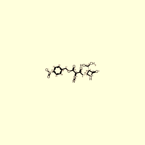 CC(O)[C@@H]1C(=O)N[C@@H]1CC(=O)C(=[N+]=[N-])C(=O)OCc1ccc([N+](=O)[O-])cc1